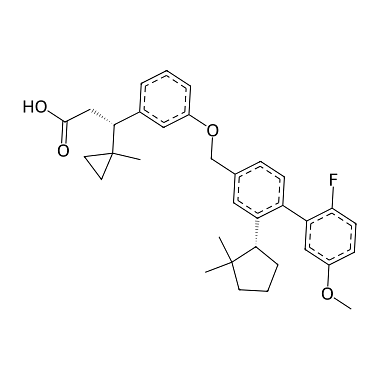 COc1ccc(F)c(-c2ccc(COc3cccc([C@@H](CC(=O)O)C4(C)CC4)c3)cc2[C@@H]2CCCC2(C)C)c1